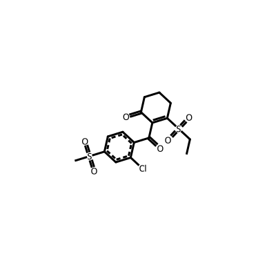 CCS(=O)(=O)C1=C(C(=O)c2ccc(S(C)(=O)=O)cc2Cl)C(=O)CCC1